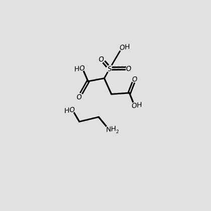 NCCO.O=C(O)CC(C(=O)O)S(=O)(=O)O